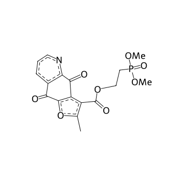 COP(=O)(CCOC(=O)c1c(C)oc2c1C(=O)c1ncccc1C2=O)OC